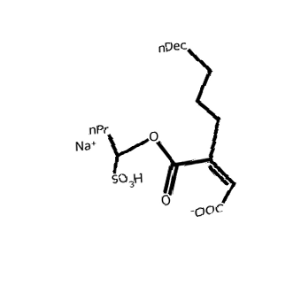 CCCCCCCCCCCCCC(=CC(=O)[O-])C(=O)OC(CCC)S(=O)(=O)O.[Na+]